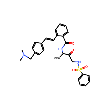 CCCCC(NC(=O)c1ccccc1C=Cc1ccc(CN(C)C)cc1)C(=O)CNS(=O)(=O)c1ccccc1